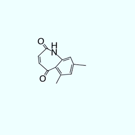 Cc1cc(C)c2c(=O)ccc(=O)[nH]c2c1